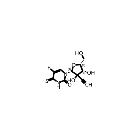 C#CC1(O)[C@@H](O)[C@@H](CO)O[C@H]1n1cc(F)c(=S)[nH]c1=O